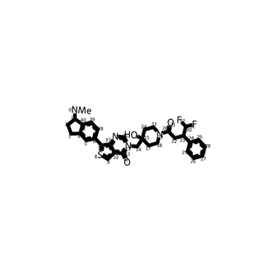 CNC1CCc2cc(-c3scc4c(=O)n(CC5(O)CCN(C(=O)CC(c6ccccc6)C(F)F)CC5)cnc34)ccc21